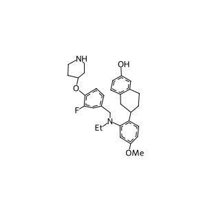 CCN(Cc1ccc(OC2CCNCC2)c(F)c1)c1cc(OC)ccc1C1CCc2cc(O)ccc2C1